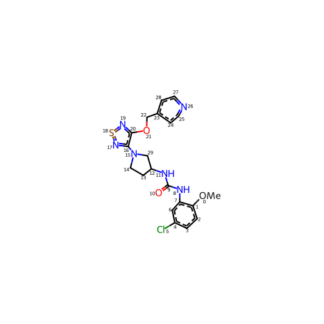 COc1ccc(Cl)cc1NC(=O)NC1CCN(c2nsnc2OCc2ccncc2)C1